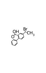 CC(Br)c1ccc(-c2ccccc2)c(C(=O)O)c1